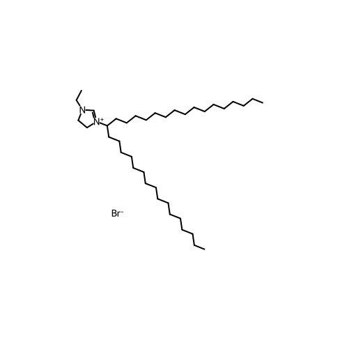 CCCCCCCCCCCCCCCCC(CCCCCCCCCCCCCCCC)[N+]1=CN(CC)CC1.[Br-]